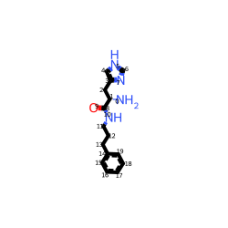 N[C@@H](Cc1c[nH]cn1)C(=O)NCCCc1ccccc1